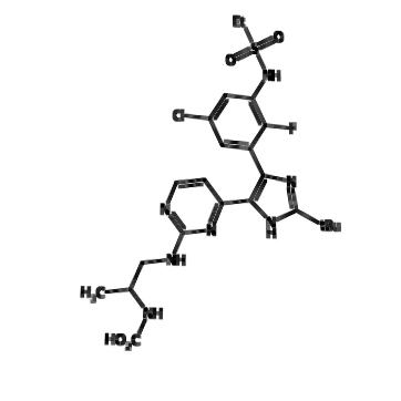 CCS(=O)(=O)Nc1cc(Cl)cc(-c2nc(C(C)(C)C)[nH]c2-c2ccnc(NCC(C)NC(=O)O)n2)c1F